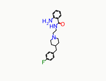 Nc1ccccc1C(=O)NCCN1CCC(Cc2ccc(F)cc2)CC1